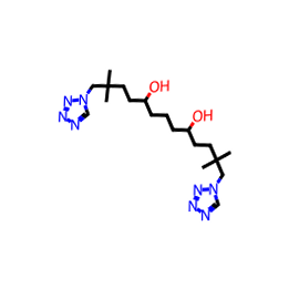 CC(C)(CCC(O)CCCC(O)CCC(C)(C)Cn1cnnn1)Cn1cnnn1